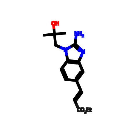 CCOC(=O)/C=C/c1ccc2c(c1)nc(N)n2CC(C)(C)O